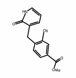 COC(=O)c1ccc(Cc2ccc[nH]c2=O)c(C#N)c1